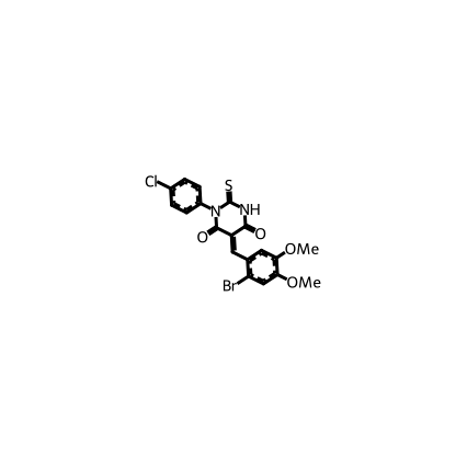 COc1cc(Br)c(C=C2C(=O)NC(=S)N(c3ccc(Cl)cc3)C2=O)cc1OC